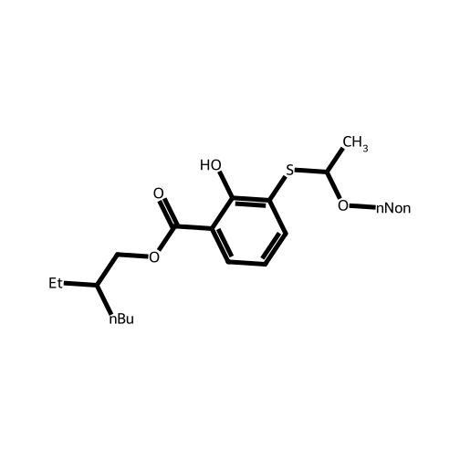 CCCCCCCCCOC(C)Sc1cccc(C(=O)OCC(CC)CCCC)c1O